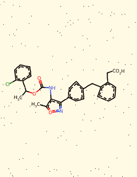 Cc1onc(-c2ccc(Cc3ccccc3CC(=O)O)cc2)c1NC(=O)OC(C)c1ccccc1Cl